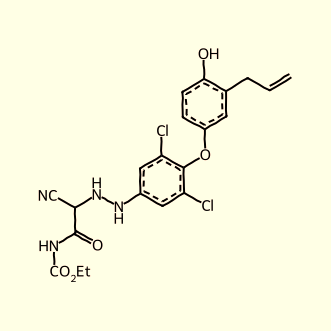 C=CCc1cc(Oc2c(Cl)cc(NNC(C#N)C(=O)NC(=O)OCC)cc2Cl)ccc1O